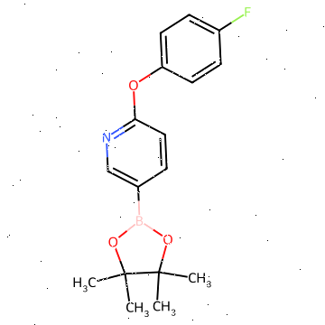 CC1(C)OB(c2ccc(Oc3ccc(F)cc3)nc2)OC1(C)C